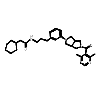 Cc1ncnc(C)c1C(=O)N1CC2CN(c3cccc(CCCNC(=O)CC4CCCCC4)c3)CC2C1